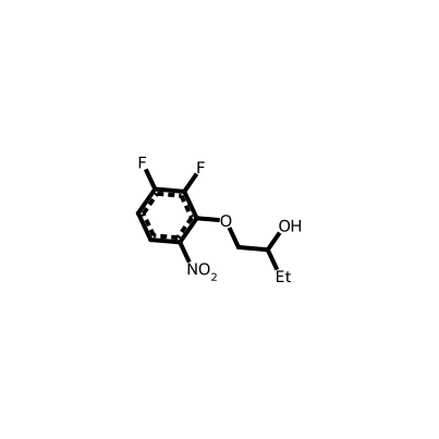 CCC(O)COc1c([N+](=O)[O-])ccc(F)c1F